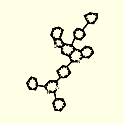 c1ccc(-c2ccc(-c3c4c(cc5c(-c6ccc(-c7cc(-c8ccccc8)nc(-c8ccccc8)n7)cc6)nc6ccccc6c35)oc3ccccc34)cc2)cc1